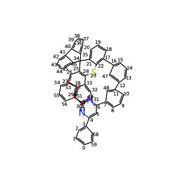 c1ccc(-c2cc(-c3cccc(-c4cccc(-c5cccc6c5Sc5c(ccc7ccccc57)C65c6ccccc6-c6ccccc65)c4)c3)nc(-c3ccccc3)n2)cc1